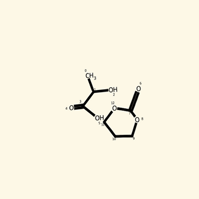 CC(O)C(=O)O.O=C1OCCCO1